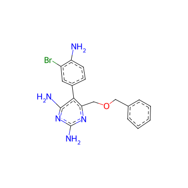 Nc1nc(N)c(-c2ccc(N)c(Br)c2)c(COCc2ccccc2)n1